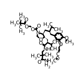 COCCCOc1cc(C[C@@H](C[C@H]2[C@H](C[C@H](C(=O)NCC(C)(C)C(N)=O)C(C)C)OCN2C(=O)OCOC(=O)C(C)(C)C)C(C)C)ccc1OC